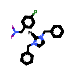 Clc1ccc(CN(I)I)cc1.[Pt]=[c]1n(Cc2ccccc2)ccn1Cc1ccccc1